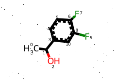 C[C](O)c1ccc(F)c(F)c1